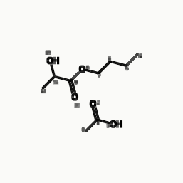 CC(=O)O.CCCCOC(=O)C(C)O